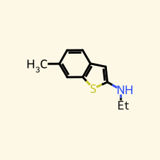 CCNc1cc2ccc(C)cc2s1